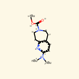 CCCCN(CCCC)c1ccc2c(n1)CCN(C(=O)OC(C)(C)C)CC2